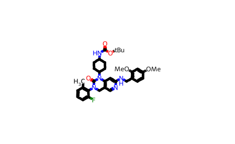 COc1ccc(CNc2cc3c(cn2)CN(c2c(C)cccc2F)C(=O)N3C2CCC(NC(=O)OC(C)(C)C)CC2)c(OC)c1